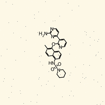 Cc1ccc2c(NS(=O)(=O)N3CCCCC3)cccc2c1Oc1ncccc1-c1ccnc(N)n1